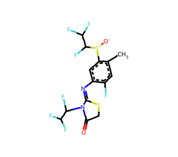 Cc1cc(F)c(N=C2SCC(=O)N2C(F)C(F)F)cc1[S+]([O-])C(F)C(F)F